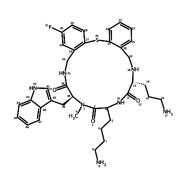 CN1C(=O)C(CCCCN)NC(=O)[C@@H](CCCN)NCc2ccccc2Sc2ccc(F)cc2CNC(=O)[C@@H]1Cc1c[nH]c2ccccc12